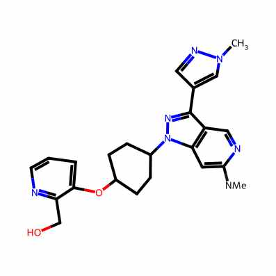 CNc1cc2c(cn1)c(-c1cnn(C)c1)nn2C1CCC(Oc2cccnc2CO)CC1